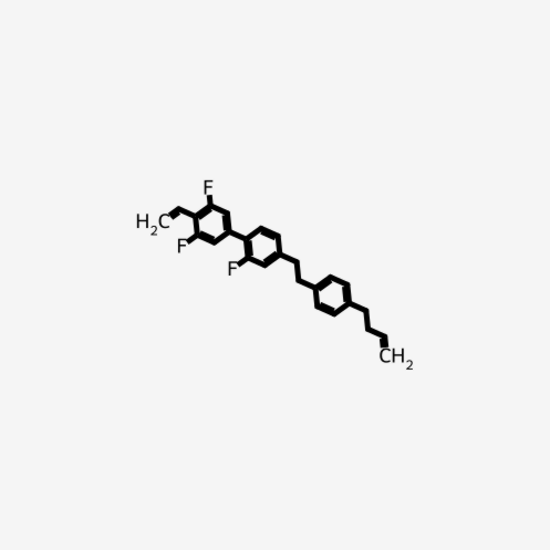 C=CCCc1ccc(CCc2ccc(-c3cc(F)c(C=C)c(F)c3)c(F)c2)cc1